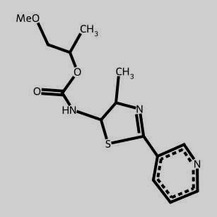 COCC(C)OC(=O)NC1SC(c2cccnc2)=NC1C